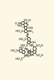 Cc1cc(/N=N\c2c(S(=O)(=O)O)cc3cc(S(=O)(=O)O)c(N=Nc4c(S(=O)(=O)O)cc5c(S(=O)(=O)O)c(N=Nc6cc(S(=O)(=O)O)c7cc(S(=O)(=O)O)c(/N=N\c8ccc([N+](=O)[O-])cc8S(=O)(=O)O)c(O)c7c6N)ccc5c4O)cc3c2O)c(OCCCS(=O)(=O)O)cc1/N=N\c1cc(S(=O)(=O)O)cc2cc(S(=O)(=O)O)cc(O)c12